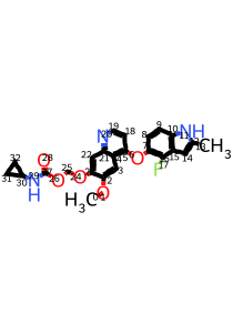 COc1cc2c(Oc3ccc4[nH]c(C)cc4c3F)ccnc2cc1OCOC(=O)NC1CC1